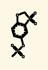 CS(=O)(=O)Oc1ccc2c(c1)S(=O)(=O)CO2